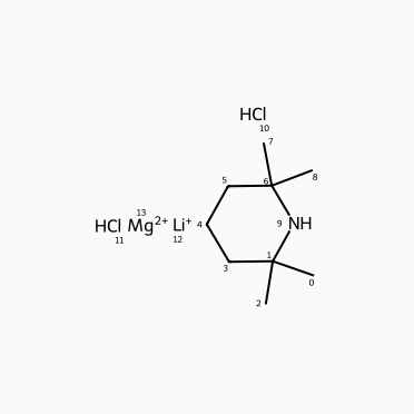 CC1(C)CCCC(C)(C)N1.Cl.Cl.[Li+].[Mg+2]